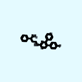 NC(CCNc1ncc(-c2ccc(F)cc2)c(-c2ccncc2)n1)c1ccccc1